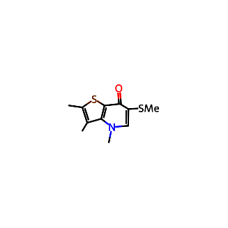 CSc1cn(C)c2c(C)c(C)sc2c1=O